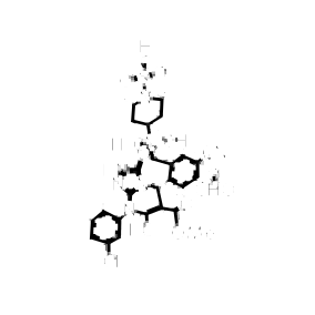 COC(=O)C1=C(C)N(c2cccc(C(F)(F)F)c2)c2n[nH]c(=O)n2[C@@H]1c1ccc(C#N)cc1C[N+](C)(C)C1CCN(S(C)(=O)=O)CC1.O=C[O-]